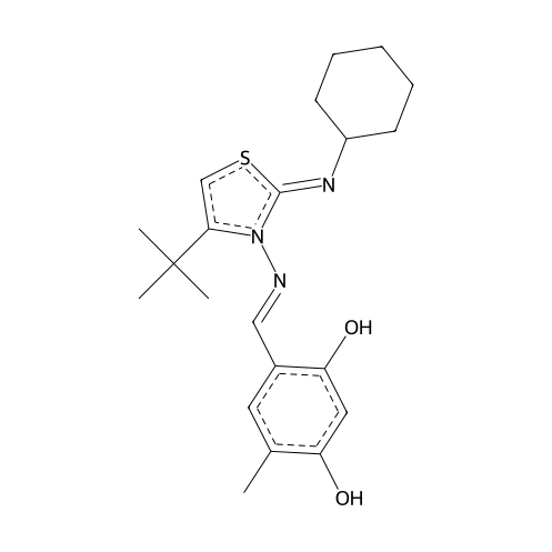 Cc1cc(/C=N/n2c(C(C)(C)C)cs/c2=N\C2CCCCC2)c(O)cc1O